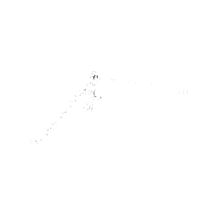 CCCCCCCCCCCCCCCCCCOCCCOP(=O)(CCCNC(=O)OCC(Cl)(Cl)Cl)OCCCOCCCCCCCCCCCCCCCCCC